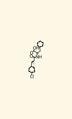 O=C(/C=C/c1ccc(Cl)cc1)N[C@H](Cc1ccccc1)C(=O)O